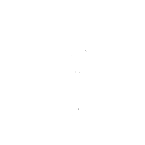 O=C1COc2ccc(CNC(=O)c3nc4sc5c(c4c(=O)[nH]3)C(C(=O)O)CC5)cc2N1